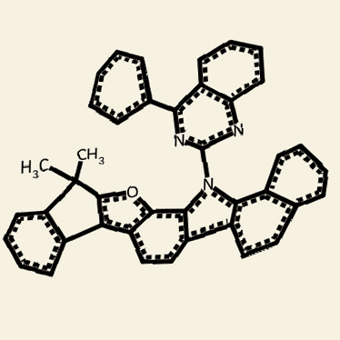 CC1(C)c2ccccc2-c2c1oc1c2ccc2c3ccc4ccccc4c3n(-c3nc(-c4ccccc4)c4ccccc4n3)c21